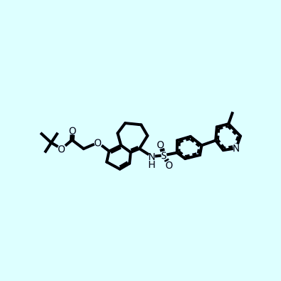 Cc1cncc(-c2ccc(S(=O)(=O)NC3=C4C=CCC(OCC(=O)OC(C)(C)C)=C4CCCC3)cc2)c1